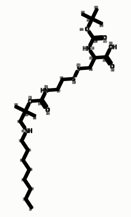 CCCCCCCCNCC(C)(C)OC(=O)NCCSSCC(NC(=O)OC(C)(C)C)C(=O)O